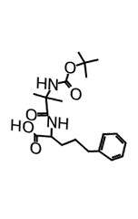 CC(C)(C)OC(=O)NC(C)(C)C(=O)NC(CCCc1ccccc1)C(=O)O